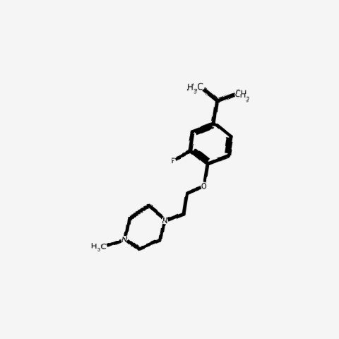 CC(C)c1ccc(OCCN2CCN(C)CC2)c(F)c1